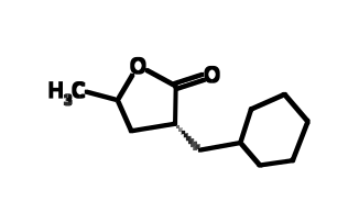 CC1C[C@@H](CC2CCCCC2)C(=O)O1